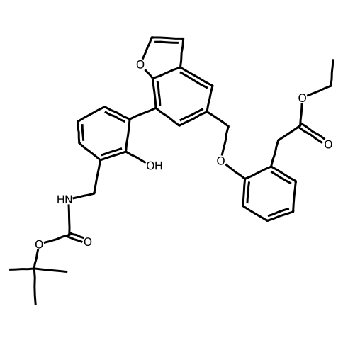 CCOC(=O)Cc1ccccc1OCc1cc(-c2cccc(CNC(=O)OC(C)(C)C)c2O)c2occc2c1